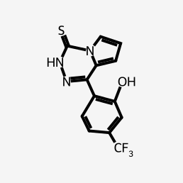 Oc1cc(C(F)(F)F)ccc1-c1n[nH]c(=S)n2cccc12